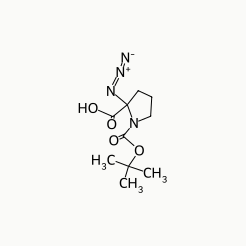 CC(C)(C)OC(=O)N1CCCC1(N=[N+]=[N-])C(=O)O